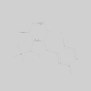 CSc1c(Br)ccc2c(-c3nc(Cl)ncc3Cl)cn(C(C)(C)C)c12